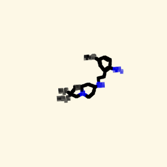 COc1ccc(N)c(CCNC2CCN(CC(C)(C)C(=O)O)CC2)c1